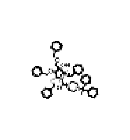 C[C@@H](O)[C@](O)(COCc1ccccc1)[C@@H](OCc1ccccc1)[C@H](OCc1ccccc1)[C@@H](OCc1ccccc1)C(=O)N1CCN(C(C)(c2ccccc2)c2ccccc2)CC1